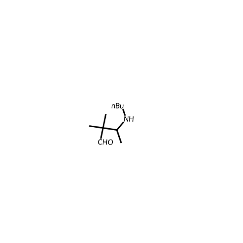 CCCCNC(C)C(C)(C)C=O